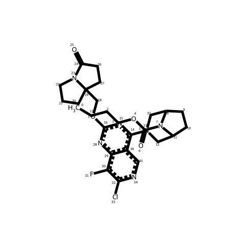 CCCCOC(=O)N1C2CCC1CN(c1nc(OCC34CCCN3C(=O)CC4)nc3c(F)c(Cl)ncc13)C2